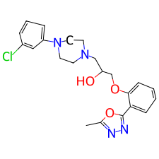 Cc1nnc(-c2ccccc2OCC(O)CN2CCN(c3cccc(Cl)c3)CC2)o1